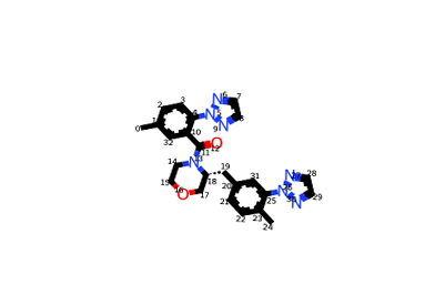 Cc1ccc(-n2nccn2)c(C(=O)N2CCOC[C@H]2Cc2ccc(C)c(-n3nccn3)c2)c1